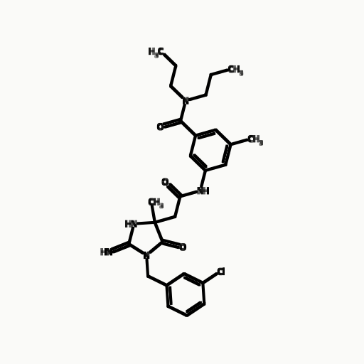 CCCN(CCC)C(=O)c1cc(C)cc(NC(=O)CC2(C)NC(=N)N(Cc3cccc(Cl)c3)C2=O)c1